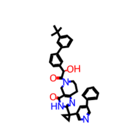 CC(C)(C)c1cccc(-c2cccc([C@@H](O)C(=O)N3CCCc4nc(C5(c6cncc(-c7ccccc7)c6)CC5)[nH]c(=O)c4C3)c2)c1